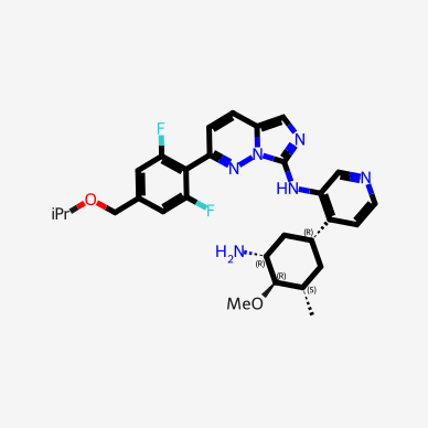 CO[C@H]1[C@H](N)C[C@H](c2ccncc2Nc2ncc3ccc(-c4c(F)cc(COC(C)C)cc4F)nn23)C[C@@H]1C